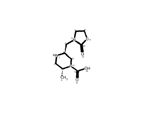 C[C@@H]1CN[C@@H](CN2CCOC2=O)CN1C(=O)O